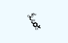 CCC(C)(C)c1ccc(CNCC(=O)OC(C)(C)C)cc1